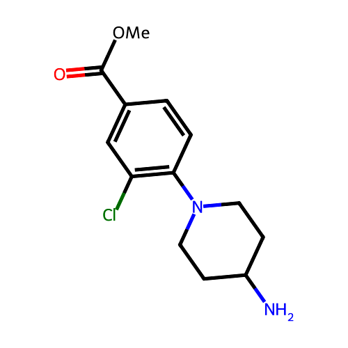 COC(=O)c1ccc(N2CCC(N)CC2)c(Cl)c1